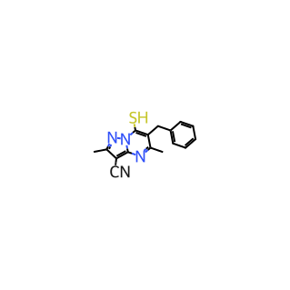 Cc1nc2c(C#N)c(C)nn2c(S)c1Cc1ccccc1